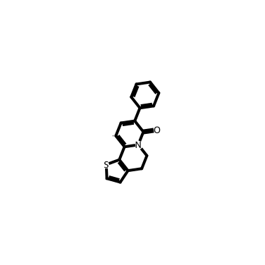 O=c1c(-c2ccccc2)c[c]c2n1CCc1ccsc1-2